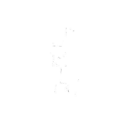 Cc1c(Br)cccc1-c1nc2cc(C=O)c(C3CC3)cc2o1